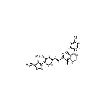 COc1cc(/C=C/C(=O)NN2CCCN(c3ccc(Cl)cc3)C2=O)cnc1-n1cnc(C)c1